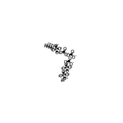 O=C([O-])[O-].O=C([O-])[O-].O=C([O-])[O-].O=P([O-])([O-])[O-].O=P([O-])([O-])[O-].O=P([O-])([O-])[O-].[Al+3].[Al+3].[Al+3].[Al+3].[Al+3]